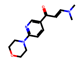 CN(C)/C=C/C(=O)c1ccc(N2CCOCC2)nc1